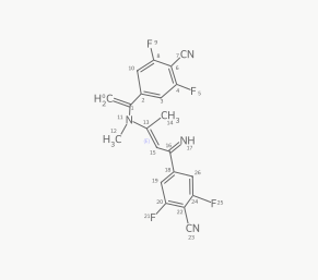 C=C(c1cc(F)c(C#N)c(F)c1)N(C)/C(C)=C/C(=N)c1cc(F)c(C#N)c(F)c1